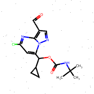 CC(C)(C)NC(=O)OC(c1cc(Cl)nc2c(C=O)cnn12)C1CC1